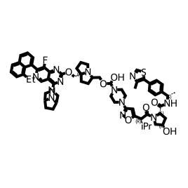 CCc1cccc2cccc(-c3ncc4c(N5CC6CCC(C5)N6)nc(OC[C@]56CCCN5C(COC(O)N5CCN(c7cc([C@H](C(=O)N8C[C@H](O)C[C@H]8C(=O)N[C@@H](C)c8ccc(-c9scnc9C)cc8)C(C)C)on7)CC5)CC6)nc4c3F)c12